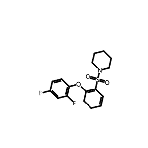 O=S(=O)(C1=C(Oc2ccc(F)cc2F)[CH]CC=C1)N1CCCCC1